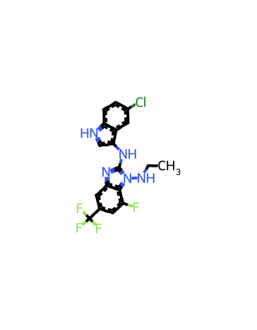 CCNn1c(Nc2c[nH]c3ccc(Cl)cc23)nc2cc(C(F)(F)F)cc(F)c21